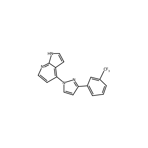 FC(F)(F)c1cccc(-c2ccn(-c3ccnc4[nH]ccc34)n2)c1